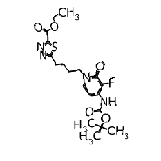 CCOC(=O)c1nnc(CCCCn2ccc(NC(=O)OC(C)(C)C)c(F)c2=O)s1